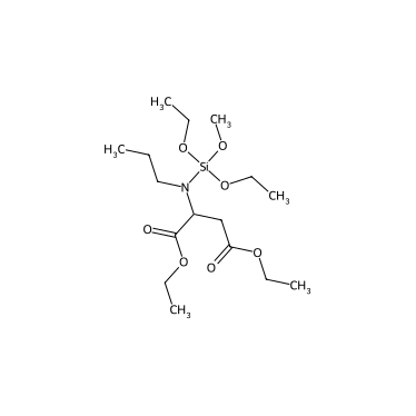 CCCN(C(CC(=O)OCC)C(=O)OCC)[Si](OC)(OCC)OCC